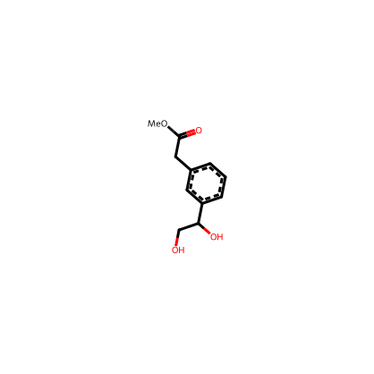 COC(=O)Cc1cccc(C(O)CO)c1